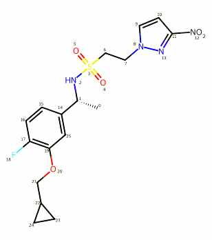 C[C@@H](NS(=O)(=O)CCn1ccc([N+](=O)[O-])n1)c1ccc(F)c(OCC2CC2)c1